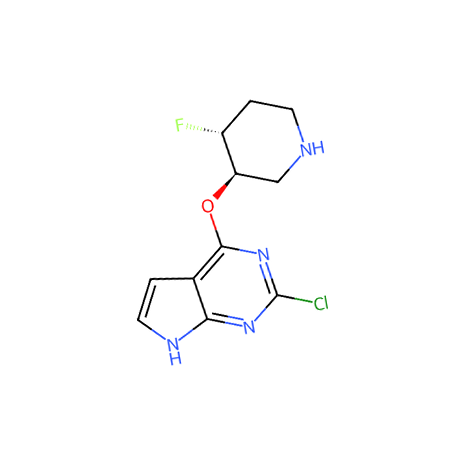 F[C@@H]1CCNC[C@H]1Oc1nc(Cl)nc2[nH]ccc12